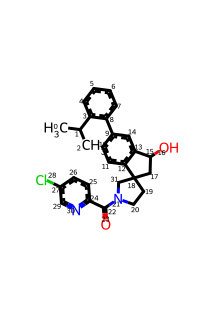 CC(C)c1ccccc1-c1ccc2c(c1)C(O)CC21CCN(C(=O)c2ccc(Cl)cn2)C1